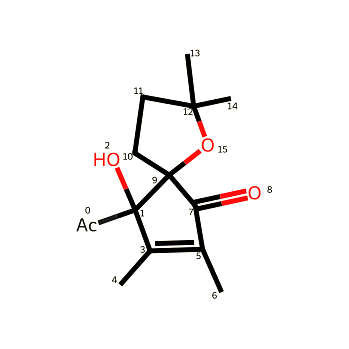 CC(=O)C1(O)C(C)=C(C)C(=O)C12CCC(C)(C)O2